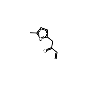 C=CC(=O)Cc1ccc(C)o1